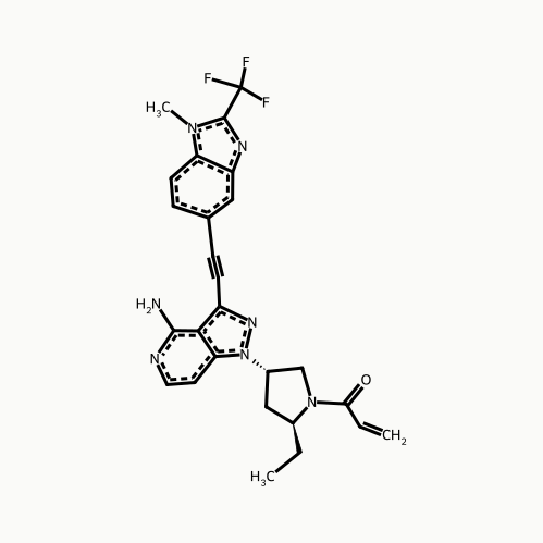 C=CC(=O)N1C[C@@H](n2nc(C#Cc3ccc4c(c3)nc(C(F)(F)F)n4C)c3c(N)nccc32)C[C@@H]1CC